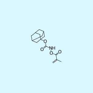 C=C(C)C(=O)ONC(=O)OC12CC3CC(CC(C3)C1)C2